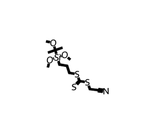 COC(C)(C)[Si](CCCSC(=S)SCC#N)(OC)OC